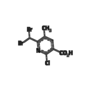 Cc1cc(C(=O)O)c(Cl)nc1C(Br)Br